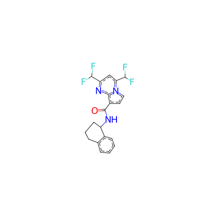 O=C(NC1CCCc2ccccc21)c1ccn2c(C(F)F)cc(C(F)F)nc12